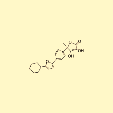 CC1(c2ccc(-c3ccc(C4CCCCC4)o3)cc2)OC(=O)C(O)=C1O